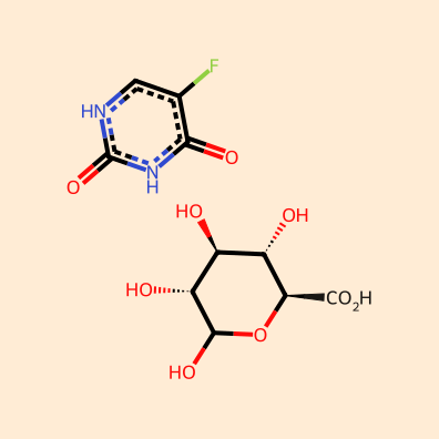 O=C(O)[C@H]1OC(O)[C@H](O)[C@@H](O)[C@@H]1O.O=c1[nH]cc(F)c(=O)[nH]1